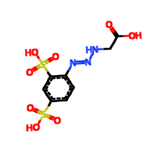 O=C(O)CNN=Nc1ccc(S(=O)(=O)O)cc1S(=O)(=O)O